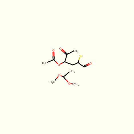 CC(=O)OC(CC(S)C=O)C(C)=O.COC(C)OC